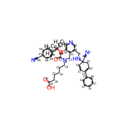 Cc1ncc(CNC2(C#N)C=CC(c3ccccc3)=CC2)c(CN(CCCCCC(=O)O)C(=O)OC(C)(C)C)c1OCc1ccc(C#N)cc1